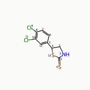 S=C1NCC(c2ccc(Cl)c(Cl)c2)S1